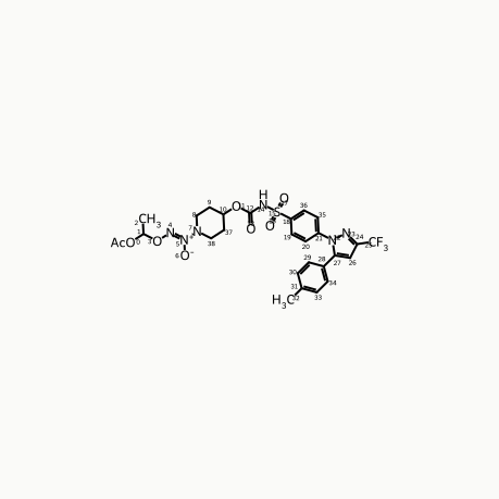 CC(=O)OC(C)O/N=[N+](\[O-])N1CCC(OC(=O)NS(=O)(=O)c2ccc(-n3nc(C(F)(F)F)cc3-c3ccc(C)cc3)cc2)CC1